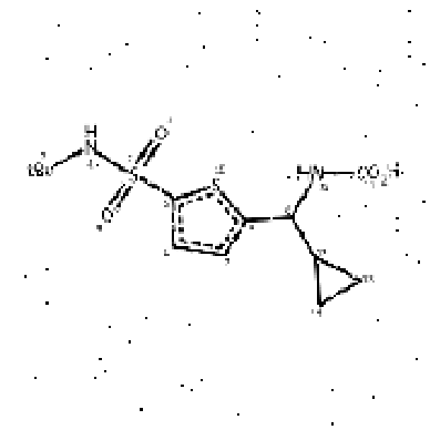 CC(C)(C)NS(=O)(=O)c1ccc(C(NC(=O)O)C2CC2)s1